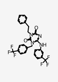 O=c1nc(Nc2cccc(C(F)(F)F)c2)n(Cc2ccc(C(F)(F)F)cc2)c(=O)n1CCc1ccccc1